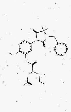 CC1(C)C(=O)N(c2ccc(OC(F)(F)F)c(NC(=O)C(NCC(F)(F)F)OC(=O)C(F)(F)F)c2)C(=O)N1Cc1ccncc1